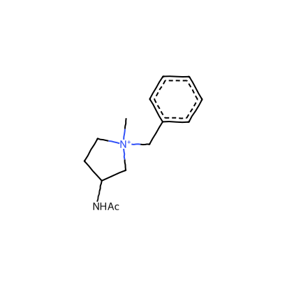 CC(=O)NC1CC[N+](C)(Cc2ccccc2)C1